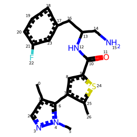 Cc1cnn(C)c1-c1cc(C(=O)NC(CN)Cc2cccc(F)c2)sc1C